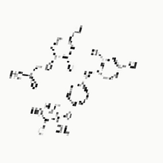 CC(C)(Oc1ccc(Oc2ccc(Cl)cc2Cl)cc1)C(=O)O.O=C(O)COc1ccc(Cl)cc1Cl